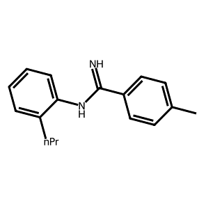 CCCc1ccccc1NC(=N)c1ccc(C)cc1